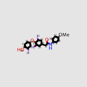 COc1ccc(NC(=O)Cc2cc(I)c(Oc3ccc(O)c(I)c3)c(I)c2)cc1